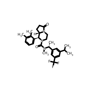 Cc1cccc([C@H]2[C@@H]3CCC(=O)N3CCN2C(=O)N(C)[C@H](C)c2cc(C(C)C)cc(C(F)(F)F)c2)c1C